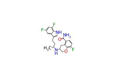 CC(CCc1c[nH]c2c(F)cc(F)cc12)NC1COc2c(F)ccc(C(N)=O)c2C1